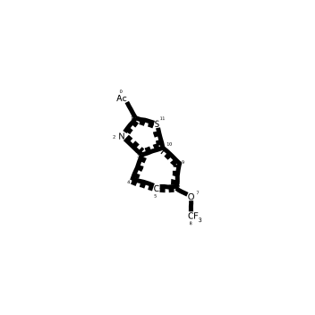 CC(=O)c1nc2ccc(OC(F)(F)F)cc2s1